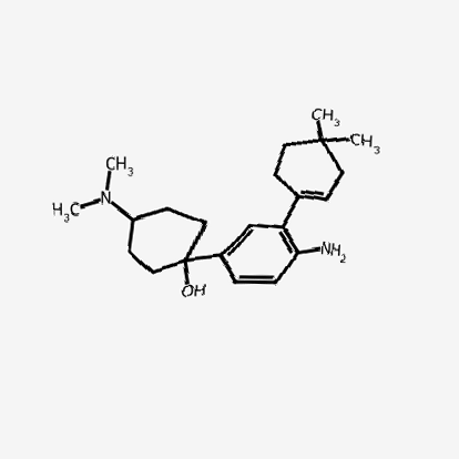 CN(C)C1CCC(O)(c2ccc(N)c(C3=CCC(C)(C)CC3)c2)CC1